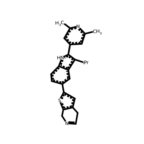 Cc1cc(-c2[nH]c3ccc(-c4cc5c(s4)CN=CC5)cc3c2C(C)C)cc(C)n1